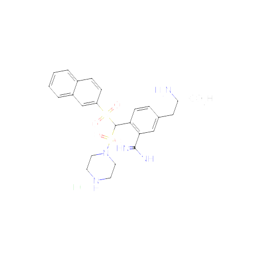 Cl.N=C(N)c1cc(C[C@H](N)C(=O)O)ccc1C(S(=O)(=O)c1ccc2ccccc2c1)S(=O)(=O)N1CCNCC1